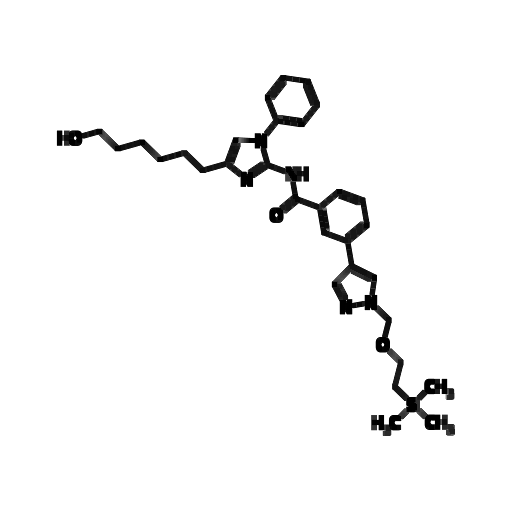 C[Si](C)(C)CCOCn1cc(-c2cccc(C(=O)Nc3nc(CCCCCCO)cn3-c3ccccc3)c2)cn1